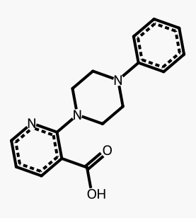 O=C(O)c1cccnc1N1CCN(c2ccccc2)CC1